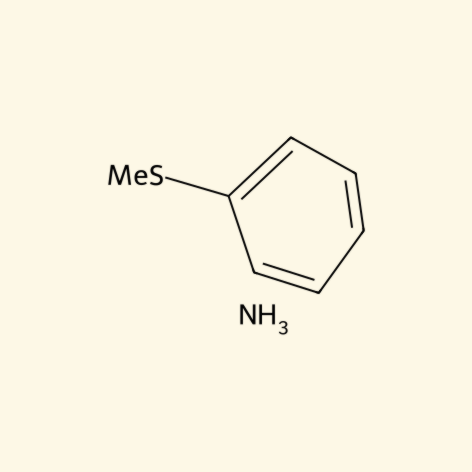 CSc1ccccc1.N